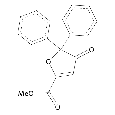 COC(=O)C1=CC(=O)C(c2ccccc2)(c2ccccc2)O1